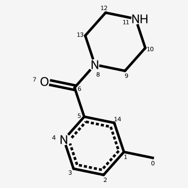 Cc1ccnc(C(=O)N2CCNCC2)c1